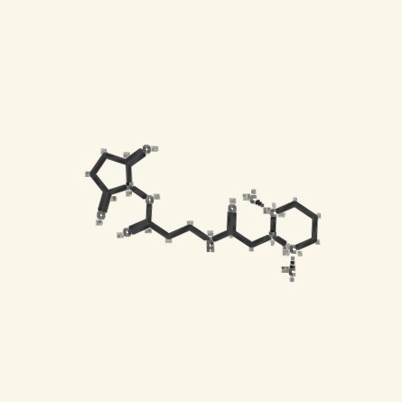 [13CH3][13C@@H]1CCC[13C@H]([13CH3])N1CC(=O)NCCC(=O)ON1C(=O)CCC1=O